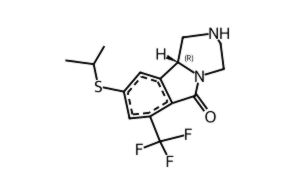 CC(C)Sc1cc2c(c(C(F)(F)F)c1)C(=O)N1CCNC[C@@H]21